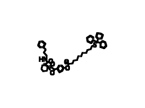 O=C(CCCCCCCCCCSC(c1ccccc1)(c1ccccc1)c1ccccc1)Oc1ccc(C(=O)C(=O)N2CCCC[C@H]2C(=O)NCCCc2ccccc2)cc1